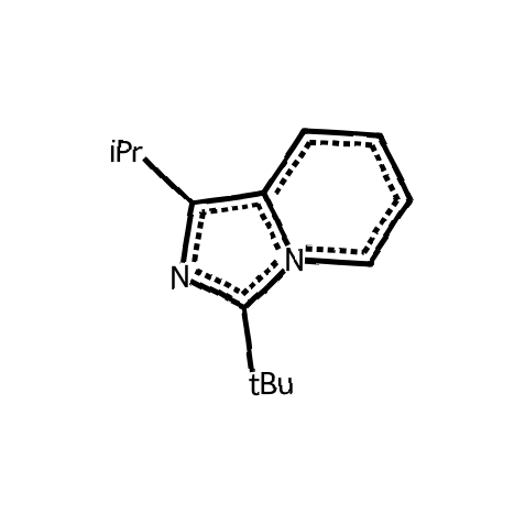 CC(C)c1nc(C(C)(C)C)n2ccccc12